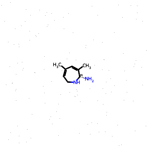 CC1=CCN[C@@H](N)C(C)=C1